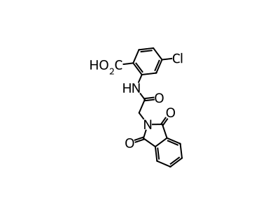 O=C(CN1C(=O)c2ccccc2C1=O)Nc1cc(Cl)ccc1C(=O)O